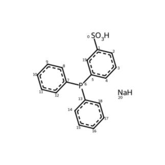 O=S(=O)(O)c1cccc(P(c2ccccc2)c2ccccc2)c1.[NaH]